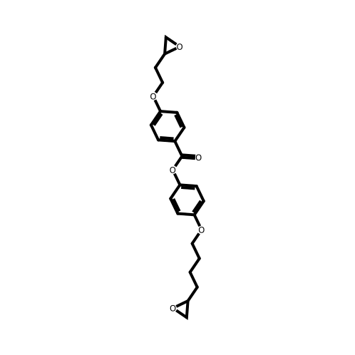 O=C(Oc1ccc(OCCCCC2CO2)cc1)c1ccc(OCCC2CO2)cc1